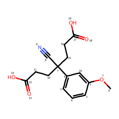 COc1cccc(C(C#N)(CCC(=O)O)CCC(=O)O)c1